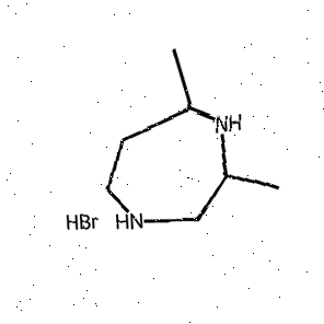 Br.CC1CCNCC(C)N1